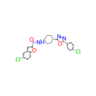 O=C(NC[C@H]1CC[C@H](c2nnc(-c3ccc(Cl)cc3)o2)CC1)c1cc2cc(Cl)ccc2o1